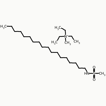 CCCCCCCCCCCCCCCCCCNS(C)(=O)=O.CC[N+](C)(CC)CC